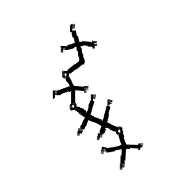 FC(F)(F)COC(F)(F)OC(F)(F)C(F)(F)OC(F)(F)F